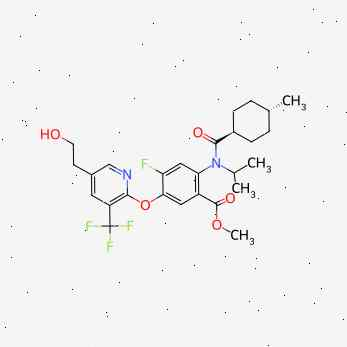 COC(=O)c1cc(Oc2ncc(CCO)cc2C(F)(F)F)c(F)cc1N(C(=O)[C@H]1CC[C@H](C)CC1)C(C)C